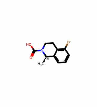 C[C@@H]1c2cccc(Br)c2CCN1C(=O)O